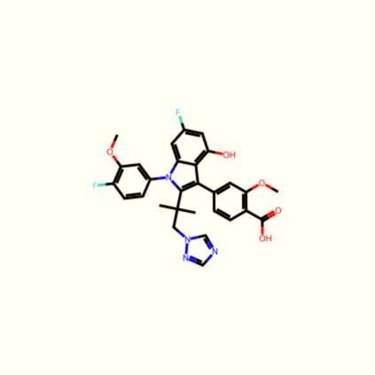 COc1cc(-n2c(C(C)(C)Cn3cncn3)c(-c3ccc(C(=O)O)c(OC)c3)c3c(O)cc(F)cc32)ccc1F